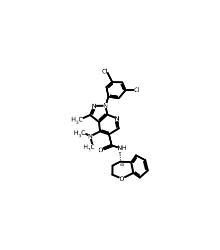 Cc1nn(-c2cc(Cl)cc(Cl)c2)c2ncc(C(=O)N[C@H]3CCOc4ccccc43)c(N(C)C)c12